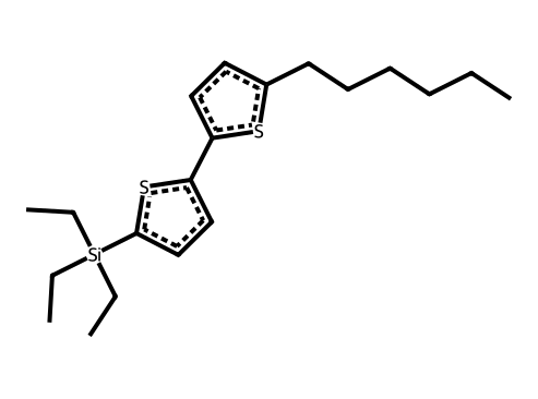 CCCCCCc1ccc(-c2ccc([Si](CC)(CC)CC)s2)s1